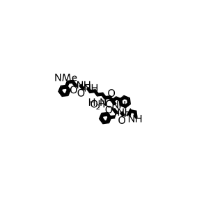 CN[C@@H](Cc1ccccc1)C(=O)NC(=O)NCCCC[C@H](N)C(=O)[C@@]([C]=O)(CC1CCCCC1)NC(=O)[C@H](Cc1ccccc1)NC(=O)[C@@H]1CCCN1